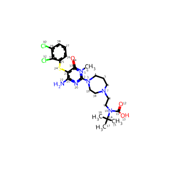 Cn1c(N2CCCN(CCN(C(=O)O)C(C)(C)C)CC2)nc(N)c(Sc2cccc(Cl)c2Cl)c1=O